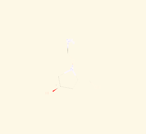 NCON1C[C@H](O)C[C@H]1CO